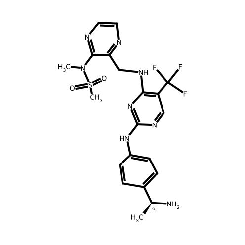 C[C@H](N)c1ccc(Nc2ncc(C(F)(F)F)c(NCc3nccnc3N(C)S(C)(=O)=O)n2)cc1